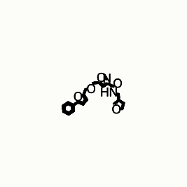 O=C(NCC1CCOC1)c1cc(COCc2ccc(-c3ccccc3)o2)on1